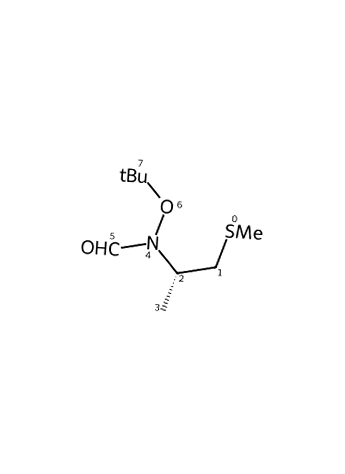 CSC[C@H](C)N(C=O)OC(C)(C)C